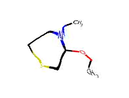 COC1CSCCN1C